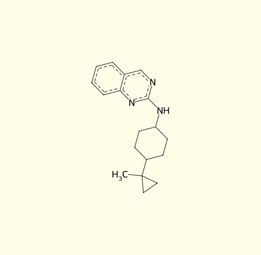 CC1(C2CCC(Nc3ncc4ccccc4n3)CC2)CC1